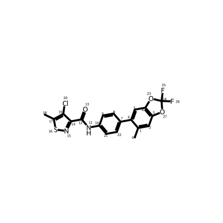 Cc1cc2c(cc1-c1ccc(NC(=O)c3nsc(C)c3Cl)cc1)OC(F)(F)O2